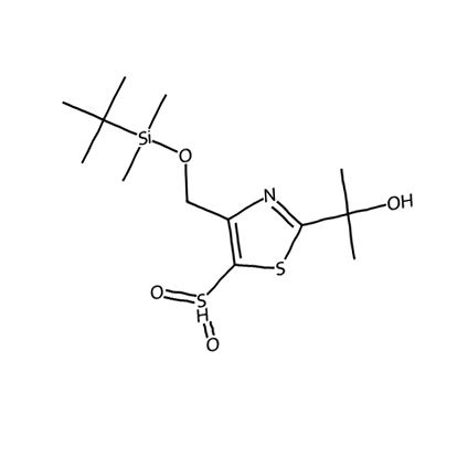 CC(C)(O)c1nc(CO[Si](C)(C)C(C)(C)C)c([SH](=O)=O)s1